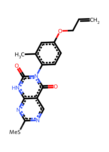 C=CCOc1ccc(-n2c(=O)[nH]c3nc(SC)ncc3c2=O)c(C)c1